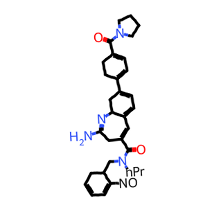 CCCN(CC1CC=CC=C1N=O)C(=O)C1=CC2=CC=C(C3=CC=C(C(=O)N4CCCC4)CC3)CC2N=C(N)C1